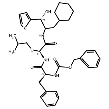 CC(C)CO[C@H](NC(=O)[C@H](Cc1ccccc1)NC(=O)OCc1ccccc1)C(=O)NC(CC1CCCCC1)[C@@H](O)c1cccs1